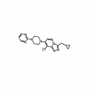 Clc1c(N2CCN(c3ncccn3)CC2)cnn2c(CC3CC3)nnc12